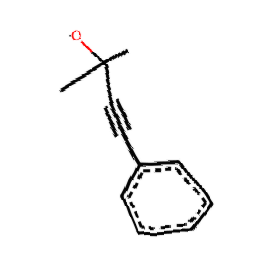 CC(C)([O])C#Cc1ccccc1